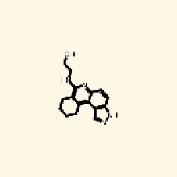 OCCNc1nc2ccc3[nH]ncc3c2c2c1CCCC2